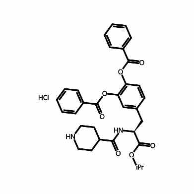 CC(C)OC(=O)[C@H](Cc1ccc(OC(=O)c2ccccc2)c(OC(=O)c2ccccc2)c1)NC(=O)C1CCNCC1.Cl